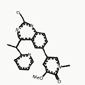 COc1cc(-c2ccc3nc(Cl)nc(C(C)c4ccccn4)c3c2)cn(C)c1=O